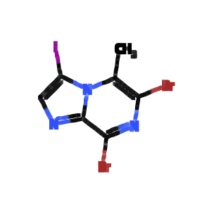 Cc1c(Br)nc(Br)c2ncc(I)n12